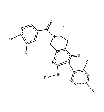 CC(C)Nc1nc2c(c(=O)n1-c1ccc(Br)cc1Cl)C[C@@H](C)N(C(=O)c1ccc(Cl)c(Cl)c1)C2